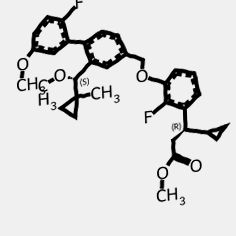 COC(=O)C[C@@H](c1cccc(OCc2ccc(-c3cc(OC)ccc3F)c([C@@H](OC)C3(C)CC3)c2)c1F)C1CC1